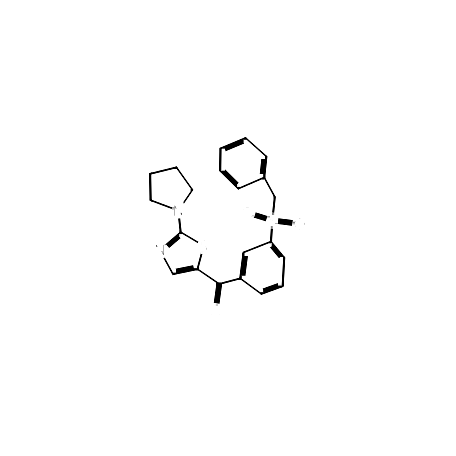 O=C(c1cccc(S(=O)(=O)Cc2ccccc2)c1)c1cnc(N2CCCC2)s1